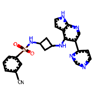 N#Cc1cccc(S(=O)(=O)NC2CC(Nc3c(-c4ccncn4)cnc4[nH]ccc34)C2)c1